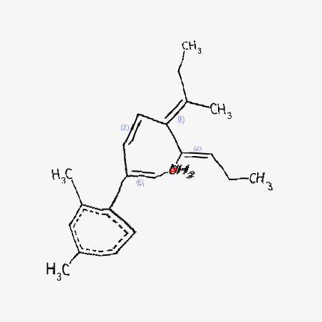 C\C=C(/C=C\C(C(\N)=C\CC)=C(\C)CC)c1ccc(C)cc1C